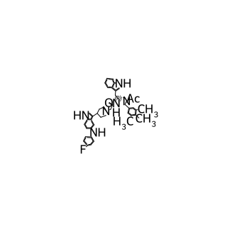 CC(=O)N(Cc1cc(C)c(C)c(C)c1)C[C@@H](Cc1c[nH]c2ccccc12)NC(=O)CN1CCC(c2c[nH]c3ccc(Nc4ccc(F)cc4)cc23)CC1